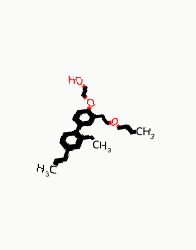 C/C=C/COCCc1cc(-c2ccc(CCC)cc2CC)ccc1OCCO